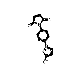 O=C1C=CC(=O)N1c1ccc(-n2ccc(C(F)(F)F)n2)cc1